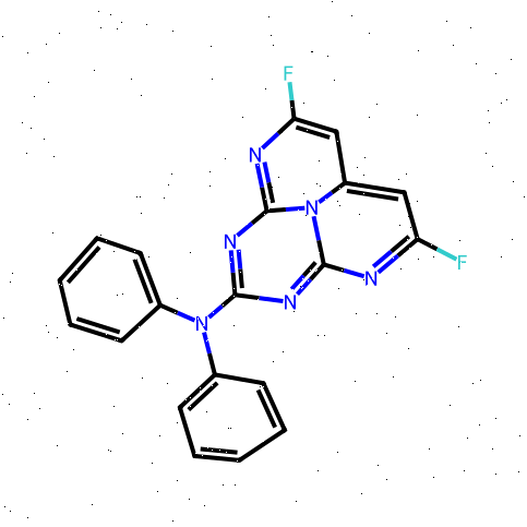 FC1=CC2=CC(F)=NC3=NC(N(c4ccccc4)c4ccccc4)=NC(=N1)N23